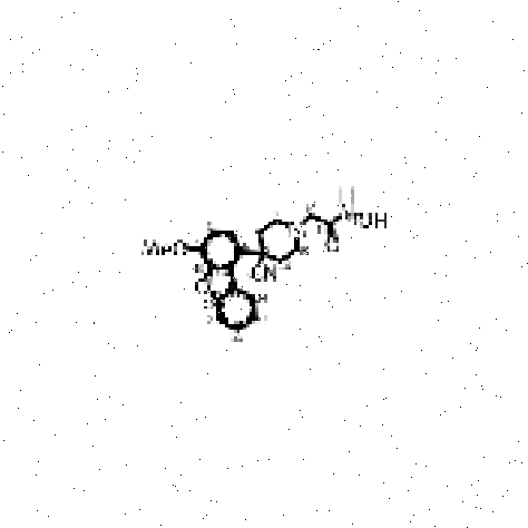 COc1ccc(C2(C#N)CCN(CC(=O)NO)CC2)c2c1oc1ccccc12